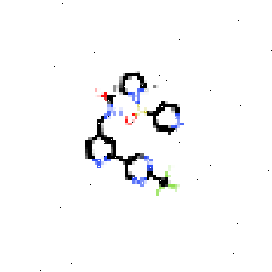 C[C@H]1CC[C@@H](C(=O)NCc2ccnc(-c3cnc(C(F)(F)F)nc3)c2)N1[S+]([O-])c1ccncc1